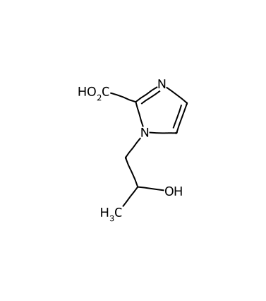 CC(O)Cn1ccnc1C(=O)O